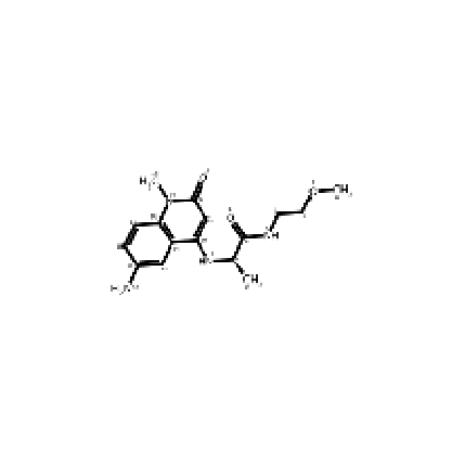 COCCNC(=O)[C@@H](C)Nc1cc(=O)n(C)c2ccc(N)cc12